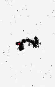 Cc1ncsc1-c1ccc([C@H](C)NC(=O)[C@@H]2C[C@@H](O)CN2C(=O)[C@@H](c2cc(N3CCN(C(=O)OC[C@H]4CC[C@]5(COc6nc(N7CC8CCC(C7)N8)c7cnc(-c8cccc9ccc(F)c(F)c89)c(F)c7n6)CCCN45)CC3)no2)C(C)C)cc1